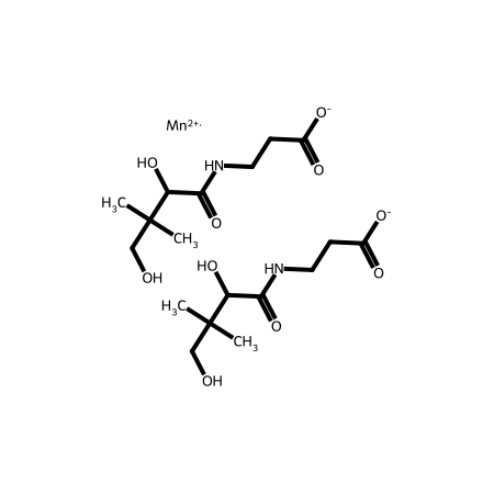 CC(C)(CO)C(O)C(=O)NCCC(=O)[O-].CC(C)(CO)C(O)C(=O)NCCC(=O)[O-].[Mn+2]